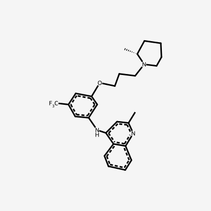 Cc1cc(Nc2cc(OCCCN3CCCC[C@H]3C)cc(C(F)(F)F)c2)c2ccccc2n1